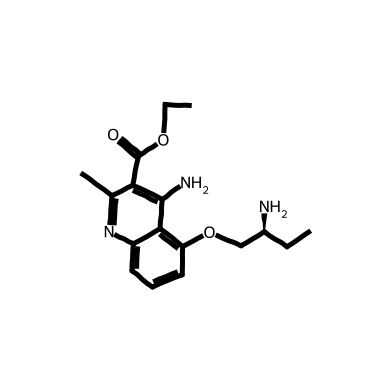 CCOC(=O)c1c(C)nc2cccc(OC[C@@H](N)CC)c2c1N